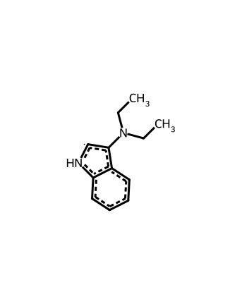 CCN(CC)c1[c][nH]c2ccccc12